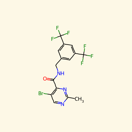 Cc1ncc(Br)c(C(=O)NCc2cc(C(F)(F)F)cc(C(F)(F)F)c2)n1